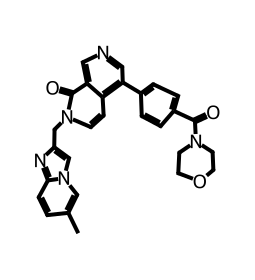 Cc1ccc2nc(Cn3ccc4c(-c5ccc(C(=O)N6CCOCC6)cc5)cncc4c3=O)cn2c1